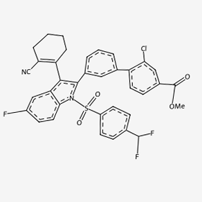 COC(=O)c1ccc(-c2cccc(-c3c(C4=C(C#N)CCCC4)c4cc(F)ccc4n3S(=O)(=O)c3ccc(C(F)F)cc3)c2)c(Cl)c1